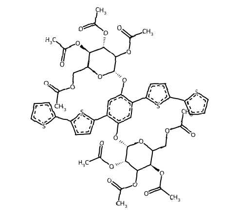 CC(=O)OCC1O[C@@H](Oc2cc(-c3ccc(-c4cccs4)s3)c(O[C@@H]3OC(COC(C)=O)[C@@H](OC(C)=O)[C@H](OC(C)=O)C3OC(C)=O)cc2-c2ccc(-c3cccs3)s2)[C@@H](OC(C)=O)C(OC(C)=O)[C@@H]1OC(C)=O